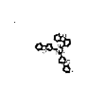 c1ccc2c(c1)oc1cc(-c3nc(-c4ccc5c(c4)oc4ccccc45)nc(-c4cccc5oc6ccccc6c45)n3)ccc12